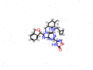 CC1CCC(Cn2c(C3OCc4ccccc43)nc3nc(-c4noc(=O)[nH]4)nc(N[C@H](C)C4CCC4)c32)CC1